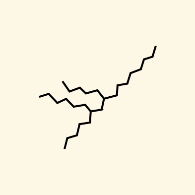 CCCCCCCCC([CH]C(CCCCC)CCCCCC)CCCCC